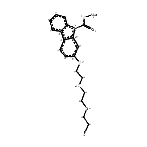 CC(C)(C)OC(=O)n1c2ccccc2c2ccc(OCCOCCOCCF)cc21